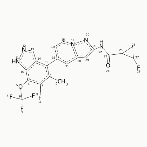 Cc1c(F)c(OC(F)(F)F)c2[nH]ncc2c1-c1ccn2nc(NC(=O)C3CC3F)cc2c1